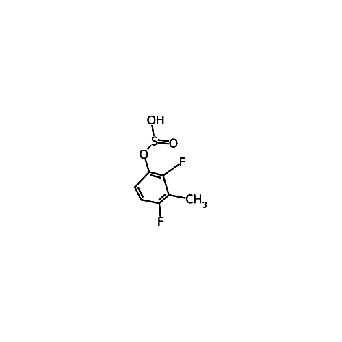 Cc1c(F)ccc(OS(=O)O)c1F